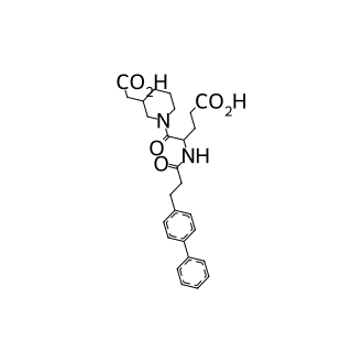 O=C(O)CCC(NC(=O)CCc1ccc(-c2ccccc2)cc1)C(=O)N1CCCC(CC(=O)O)C1